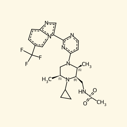 C[C@H]1[C@@H](CNS(C)(=O)=O)N(C2CC2)[C@@H](C)CN1c1ccnc(-c2cnc3ccc(C(F)(F)F)cn23)n1